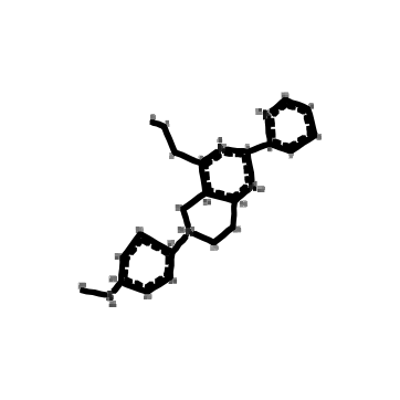 CCCc1nc(-c2ccccn2)nc2c1CN(c1ccc(SC)cc1)CC2